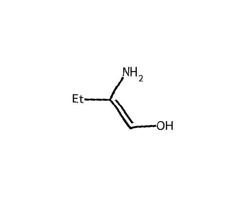 CCC(N)=CO